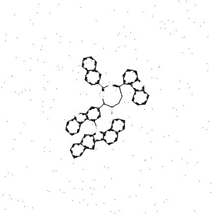 C[C@@H]1CC/C(c2cccc3oc4ccccc4c23)=N\C(c2ccc3ccccc3c2)=N/C1c1cc(-n2c3cc4ccccc4cc3c3ccc4ccccc4c32)c2c(c1)sc1ccccc12